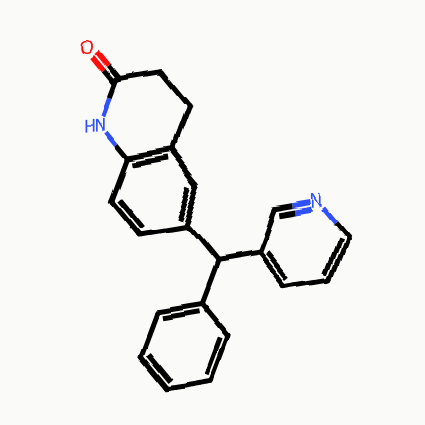 O=C1CCc2cc(C(c3ccccc3)c3cccnc3)ccc2N1